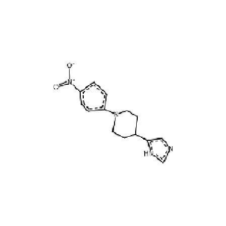 O=[N+]([O-])c1ccc(N2CCC(c3cnc[nH]3)CC2)cc1